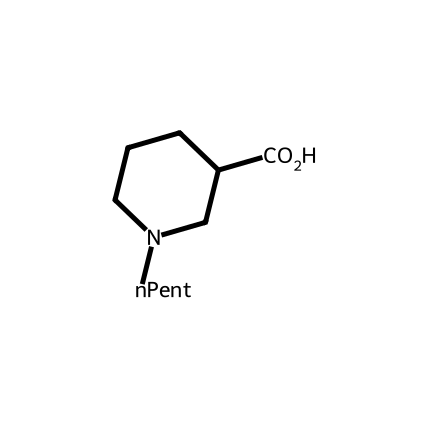 CCCCCN1CCCC(C(=O)O)C1